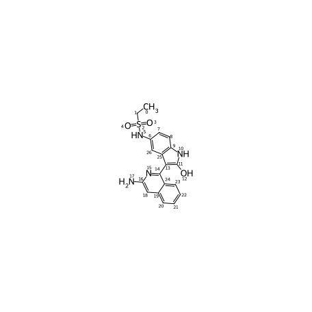 CCS(=O)(=O)Nc1ccc2[nH]c(O)c(-c3nc(N)cc4ccccc34)c2c1